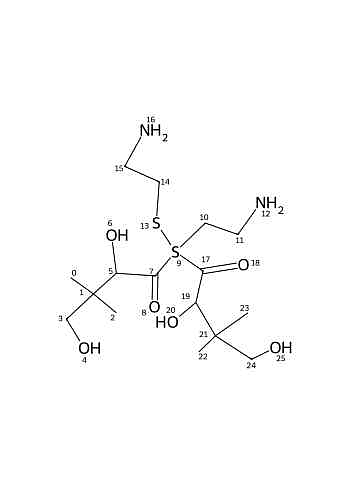 CC(C)(CO)C(O)C(=O)S(CCN)(SCCN)C(=O)C(O)C(C)(C)CO